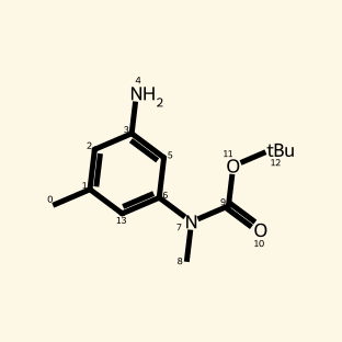 Cc1cc(N)cc(N(C)C(=O)OC(C)(C)C)c1